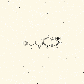 BCCOc1ccc2[nH]ncc2c1